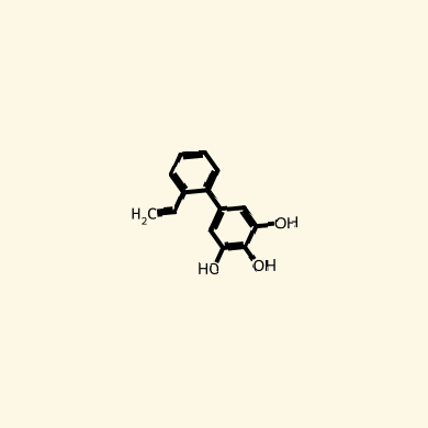 C=Cc1ccccc1-c1cc(O)c(O)c(O)c1